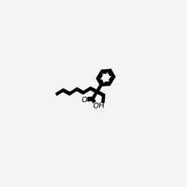 CCCCCCC(CC)(C(=O)O)c1ccccc1